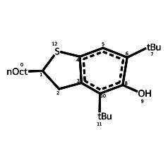 CCCCCCCCC1Cc2c(cc(C(C)(C)C)c(O)c2C(C)(C)C)S1